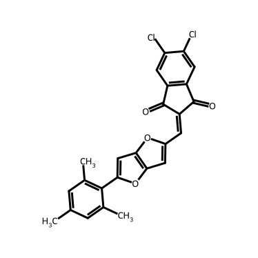 Cc1cc(C)c(-c2cc3oc(C=C4C(=O)c5cc(Cl)c(Cl)cc5C4=O)cc3o2)c(C)c1